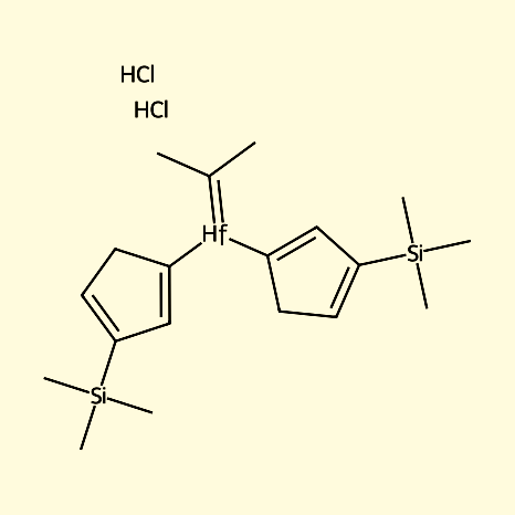 C[C](C)=[Hf]([C]1=CC([Si](C)(C)C)=CC1)[C]1=CC([Si](C)(C)C)=CC1.Cl.Cl